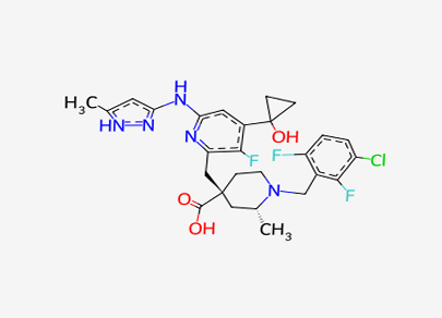 Cc1cc(Nc2cc(C3(O)CC3)c(F)c(C[C@@]3(C(=O)O)CCN(Cc4c(F)ccc(Cl)c4F)[C@H](C)C3)n2)n[nH]1